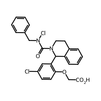 O=C(O)COc1ccc(Cl)cc1C1c2ccccc2CCN1C(=O)N(Cl)Cc1ccccc1